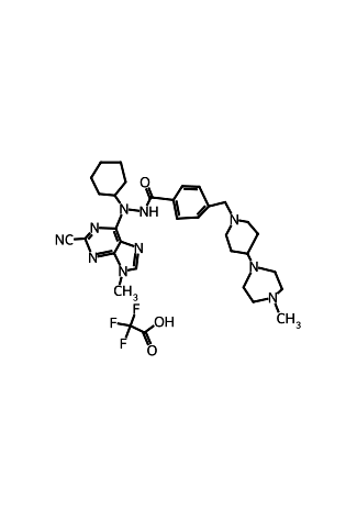 CN1CCN(C2CCN(Cc3ccc(C(=O)NN(c4nc(C#N)nc5c4ncn5C)C4CCCCC4)cc3)CC2)CC1.O=C(O)C(F)(F)F